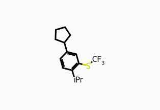 CC(C)c1ccc(C2CCCC2)cc1SC(F)(F)F